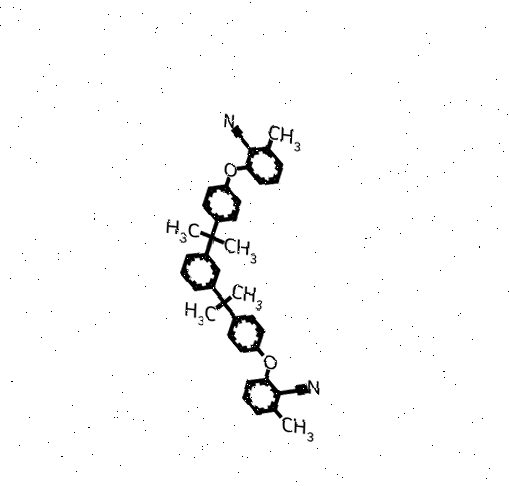 Cc1cccc(Oc2ccc(C(C)(C)c3cccc(C(C)(C)c4ccc(Oc5cccc(C)c5C#N)cc4)c3)cc2)c1C#N